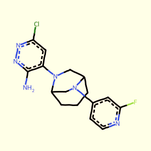 Nc1nnc(Cl)cc1N1CC2CCCC1CN2c1ccnc(F)c1